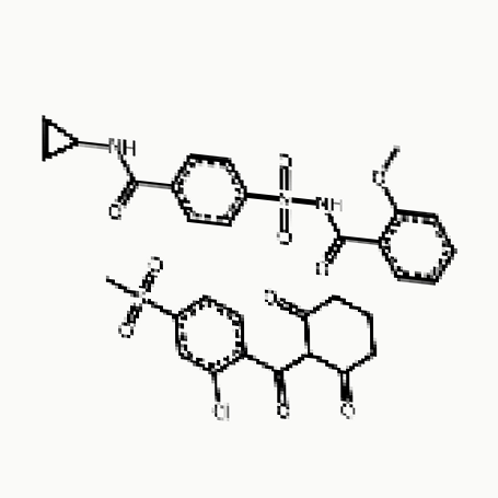 COc1ccccc1C(=O)NS(=O)(=O)c1ccc(C(=O)NC2CC2)cc1.CS(=O)(=O)c1ccc(C(=O)C2C(=O)CCCC2=O)c(Cl)c1